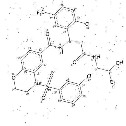 CCC(O)CNC(=O)C[C@H](NC(=O)c1ccc2c(c1)N(S(=O)(=O)c1cccc(Cl)c1)CCO2)c1cc(C(F)(F)F)ccc1Cl